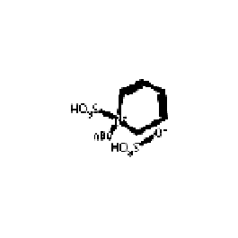 CCCC[N+]1(S(=O)(=O)O)C=CC=CC1.O=S(=O)([O-])O